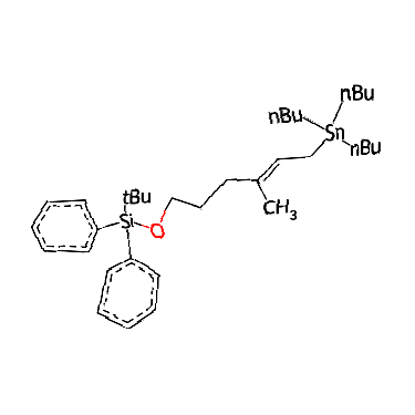 CCC[CH2][Sn]([CH2]/C=C(\C)CCCO[Si](c1ccccc1)(c1ccccc1)C(C)(C)C)([CH2]CCC)[CH2]CCC